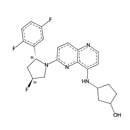 OC1CCC(Nc2ccnc3ccc(N4C[C@@H](F)C[C@@H]4c4cc(F)ccc4F)nc23)C1